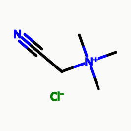 C[N+](C)(C)CC#N.[Cl-]